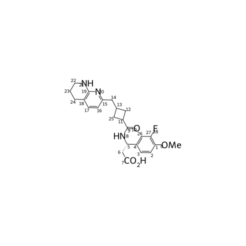 COc1ccc([C@H](CC(=O)O)NC(=O)C2CC(Cc3ccc4c(n3)NCCC4)C2)cc1F